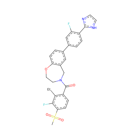 CCc1c(C(=O)N2CCOc3ccc(-c4ccc(-c5ncc[nH]5)c(F)c4)cc3C2)ccc(S(C)(=O)=O)c1F